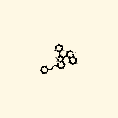 c1ccc(COc2cccc3c(-c4ccnc5ccccc45)c(-c4ccccn4)nn23)cc1